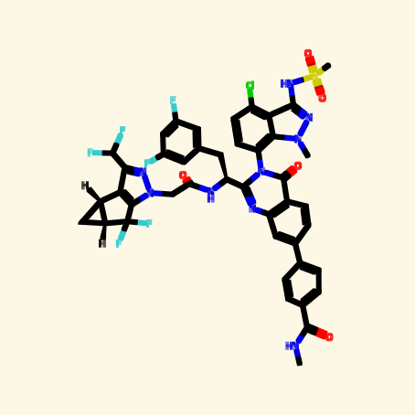 CNC(=O)c1ccc(-c2ccc3c(=O)n(-c4ccc(Cl)c5c(NS(C)(=O)=O)nn(C)c45)c([C@H](Cc4cc(F)cc(F)c4)NC(=O)Cn4nc(C(F)F)c5c4C(F)(F)[C@@H]4C[C@H]54)nc3c2)cc1